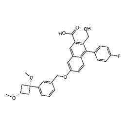 CO[C@H]1C[C@](OC)(c2cccc(COc3ccc4c(-c5ccc(F)cc5)c(CO)c(C(=O)O)cc4c3)c2)C1